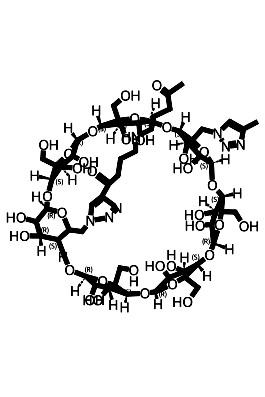 CC(=O)CCCNCCCC(=O)c1cn(CC2O[C@@H]3O[C@@H]4C(CO)O[C@H](O[C@@H]5C(CO)O[C@@H](O[C@@H]6C(Cn7cc(C)nn7)O[C@@H](O[C@@H]7C(CO)O[C@H](O[C@@H]8C(CO)O[C@H](O[C@@H]9C(CO)O[C@H](O[C@H]2[C@H](O)C3O)C(O)[C@H]9O)C(O)[C@H]8O)C(O)[C@H]7O)C(O)[C@H]6O)C(O)[C@H]5O)C(O)[C@H]4O)nn1